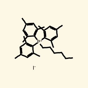 CCCCCC[P+](c1c(C)cc(C)cc1C)(c1c(C)cc(C)cc1C)c1c(C)cc(C)cc1C.[I-]